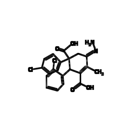 CC1=C(C(=O)O)C(c2ccccc2Cl)C(C(=O)O)(c2ccc(Cl)cc2)CC1=NN